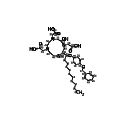 CCCCCCCCCCC(Oc1ccc(OCc2ccccc2)cc1)C1CN(CC(=O)O)C(O)CN(CC(=O)O)CCN(CC(=O)O)CCN1